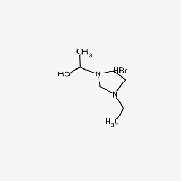 Br.CCN1CCN(C(C)O)C1